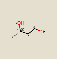 C[C@H](O)CC[O]